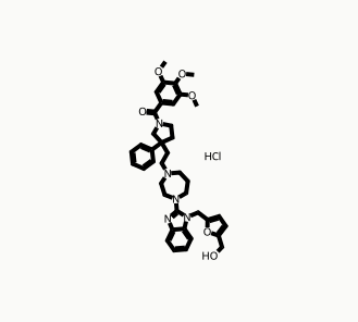 COc1cc(C(=O)N2CCC(CCN3CCCN(c4nc5ccccc5n4Cc4ccc(CO)o4)CC3)(c3ccccc3)C2)cc(OC)c1OC.Cl